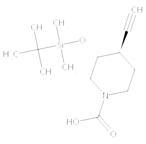 C#C[C@H]1CCN(C(=O)O)C[C@@H]1O[Si](C)(C)C(C)(C)C